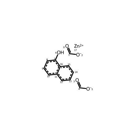 O=C[O-].O=C[O-].Oc1cccc2ccccc12.[Zn+2]